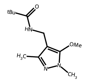 COc1c(CNC(=O)C(C)(C)C)c(C)nn1C